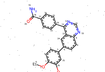 CCOc1ccc(-c2ccc3ncnc(-c4ccc(C(N)=O)cc4)c3c2)cc1OCC